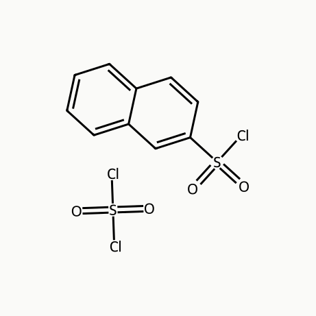 O=S(=O)(Cl)Cl.O=S(=O)(Cl)c1ccc2ccccc2c1